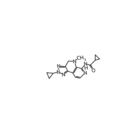 CN1Cc2nn(C3CC3)nc2-c2ccnc(NC(=O)C3CC3)c21